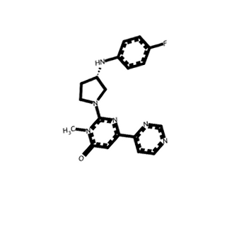 Cn1c(N2CC[C@H](Nc3ccc(F)cc3)C2)nc(-c2ccncn2)cc1=O